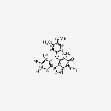 COc1nc(C)c(NC2=NC(=O)N(C)C3=NCC(C4=CC(F)=C(F)C(F)C4)N23)cc1C